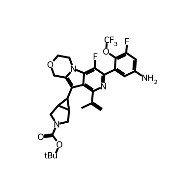 C=C(C)c1nc(-c2cc(N)cc(F)c2OC(F)(F)F)c(F)c2c1c(C1C3CN(C(=O)OC(C)(C)C)CC31)c1n2CCOC1